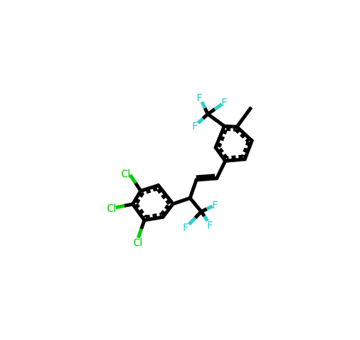 Cc1ccc(/C=C/C(c2cc(Cl)c(Cl)c(Cl)c2)C(F)(F)F)cc1C(F)(F)F